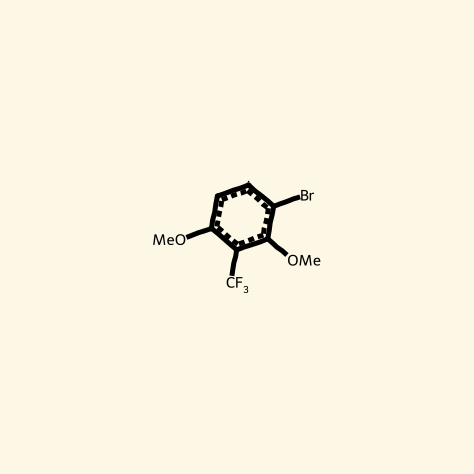 COc1c[c]c(Br)c(OC)c1C(F)(F)F